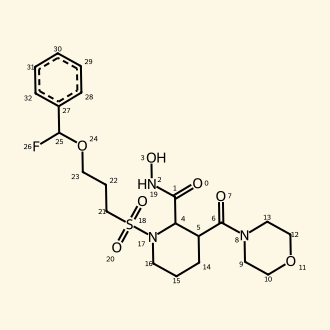 O=C(NO)C1C(C(=O)N2CCOCC2)CCCN1S(=O)(=O)CCCOC(F)c1ccccc1